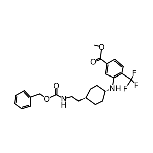 COC(=O)c1ccc(C(F)(F)F)c(N[C@H]2CC[C@H](CCNC(=O)OCc3ccccc3)CC2)c1